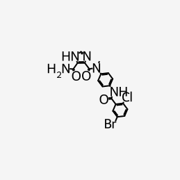 CN(C(=O)c1nc[nH]c1C(N)=O)c1ccc(NC(=O)c2cc(Br)ccc2Cl)cc1